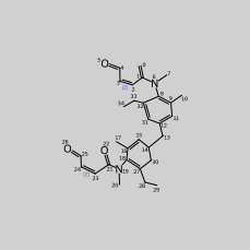 C=C(/C=C\C=O)N(C)c1c(C)cc(CC2C=C(C)C(N(C)C(=O)/C=C\C=O)=C(CC)C2)cc1CC